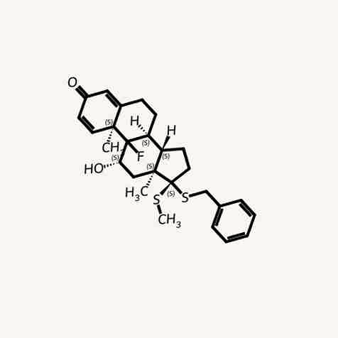 CS[C@]1(SCc2ccccc2)CC[C@H]2[C@@H]3CCC4=CC(=O)C=C[C@]4(C)C3(F)[C@@H](O)C[C@@]21C